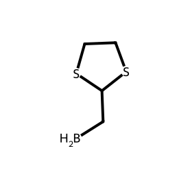 BCC1SCCS1